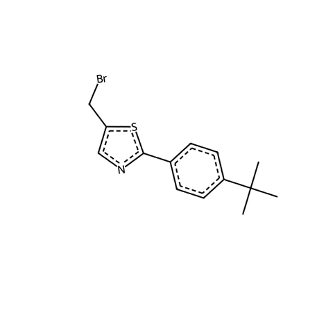 CC(C)(C)c1ccc(-c2ncc(CBr)s2)cc1